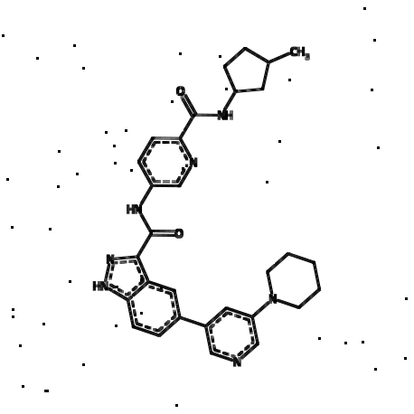 CC1CCC(NC(=O)c2ccc(NC(=O)c3n[nH]c4ccc(-c5cncc(N6CCCCC6)c5)cc34)cn2)C1